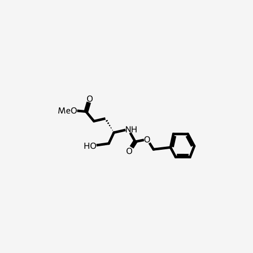 COC(=O)CC[C@@H](CO)NC(=O)OCc1ccccc1